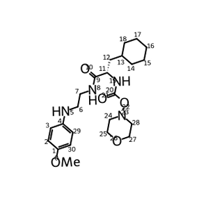 COc1ccc(NCCNC(=O)[C@H](CC2CCCCC2)NC(=O)ON2CCOCC2)cc1